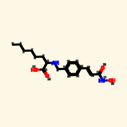 CCCCCCC(NCc1ccc(/C=C/C(=O)NO)cc1)C(=O)O